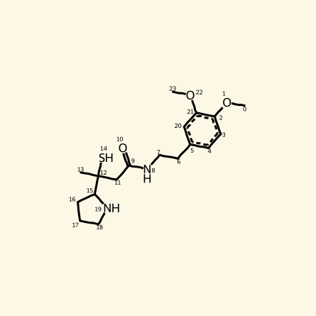 COc1ccc(CCNC(=O)CC(C)(S)C2CCCN2)cc1OC